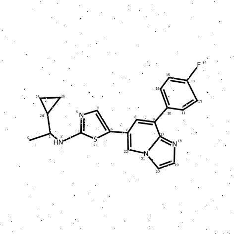 CC(Nc1ncc(-c2cc(-c3ccc(F)cc3)c3nccn3c2)s1)C1CC1